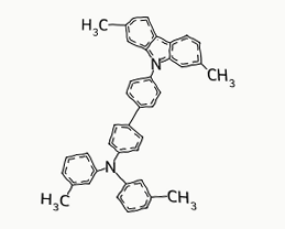 Cc1cccc(N(c2ccc(-c3ccc(-n4c5cc(C)ccc5c5ccc(C)cc54)cc3)cc2)c2cccc(C)c2)c1